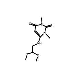 COC(CNc1cc(=O)n(C)c(=O)n1C)OC